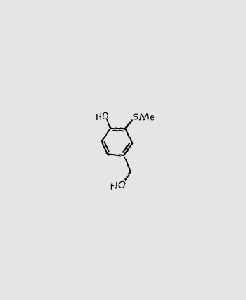 CSc1cc(CO)ccc1O